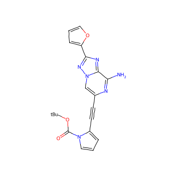 CC(C)(C)OC(=O)n1cccc1C#Cc1cn2nc(-c3ccco3)nc2c(N)n1